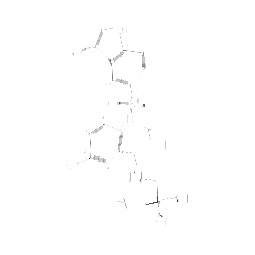 CCN(c1ccc(Cl)cc1CNCC(C)(C)C)S(=O)(=O)c1ccc2occ(C)c2c1